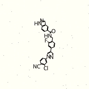 N#Cc1ccc(-n2cc(-c3ccc(CNC(=O)c4ccc5[nH]ncc5c4)c(F)c3)cn2)cc1Cl